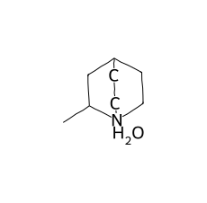 CC1CC2CCN1CC2.O